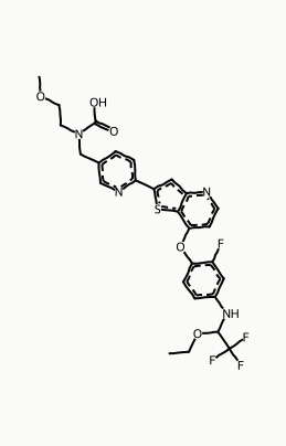 CCOC(Nc1ccc(Oc2ccnc3cc(-c4ccc(CN(CCOC)C(=O)O)cn4)sc23)c(F)c1)C(F)(F)F